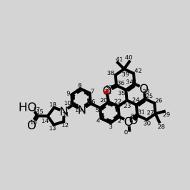 COc1ccc(-c2cccc(N3CCC(C(=O)O)C3)n2)c(C)c1C1C2=C(CC(C)(C)CC2=O)OC2=C1C(=O)CC(C)(C)C2